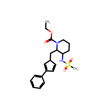 CCOC(=O)N1CCCC(NS(C)(=O)=O)C1CC1C=CC(c2ccccc2)=C1